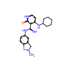 CN1Cc2cc(NC(=N)c3c(NC4CCCCC4)cc[nH]c3=O)ccc2S1